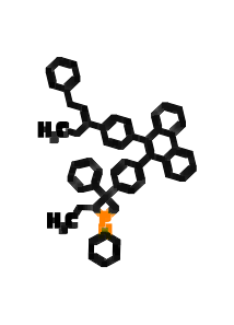 CC/C(=C\Cc1ccccc1)c1ccc(-c2c(-c3ccc(C4(c5ccccc5)C=[PH](c5ccccc5)C4CC)cc3)c3ccccc3c3ccccc23)cc1